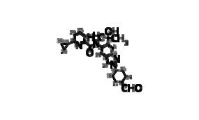 CC(C)(O)c1cc2nn([C@H]3CC[C@H](C=O)CC3)cc2cc1NC(=O)c1cccc(C2CC2)n1